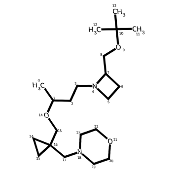 CC(CCN1CCC1COC(C)(C)C)OCC1(CN2CCOCC2)CC1